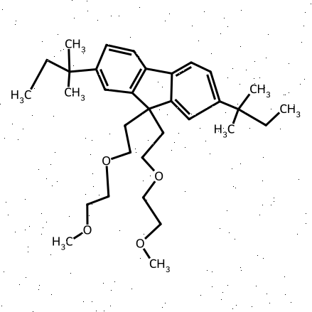 CCC(C)(C)c1ccc2c(c1)C(CCOCCOC)(CCOCCOC)c1cc(C(C)(C)CC)ccc1-2